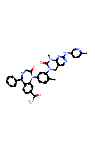 Cc1ccc(Nc2ncc3c(n2)N(C)C(=O)N(c2cc(N4C(=O)CN=C(c5ccccc5)c5ccc(C(N)=O)cc54)ccc2C)C3)cn1